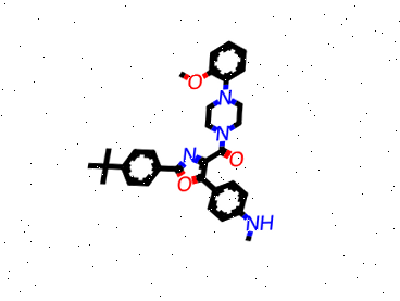 CNc1ccc(-c2oc(-c3ccc(C(C)(C)C)cc3)nc2C(=O)N2CCN(c3ccccc3OC)CC2)cc1